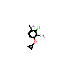 Cc1c(OC2CC2)ccc([N+](=O)[O-])c1Cl